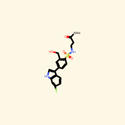 CNC(=O)CCNS(=O)(=O)c1ccc(-c2c[nH]c3cc(F)ccc23)cc1CO